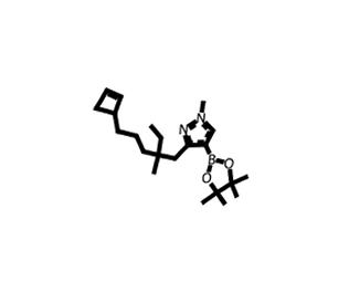 CCC(C)(CCCC1C=CC1)Cc1nn(C)cc1B1OC(C)(C)C(C)(C)O1